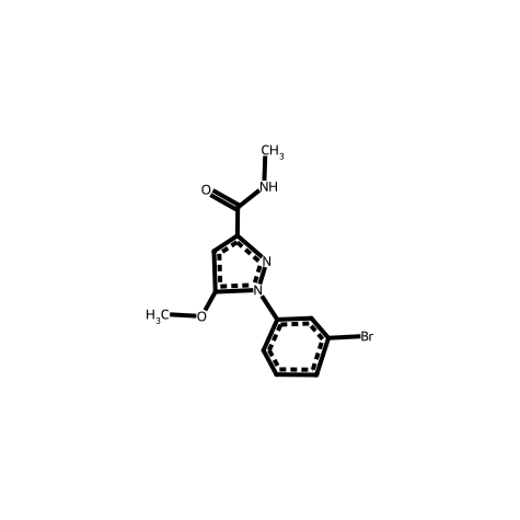 CNC(=O)c1cc(OC)n(-c2cccc(Br)c2)n1